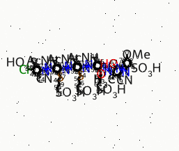 COc1cc(S(=O)(=O)O)c2nc3c(C#N)c(C)c(N=Nc4cc(NC(C)=O)c(N=Nc5cc(NC(C)=O)c(N=Nc6cc(NC(C)=O)c(N=Nc7cc(S(=O)(=O)O)c(Cl)cc7C#N)cc6SCCCS(=O)(=O)O)cc5SCCCS(=O)(=O)O)cc4OCCCS(=O)(=O)O)c(O)n3c2c1